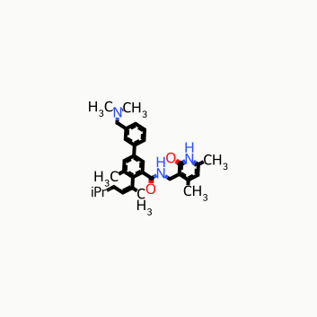 C/C(=C/CC(C)C)c1c(C)cc(-c2cccc(CN(C)C)c2)cc1C(=O)NCc1c(C)cc(C)[nH]c1=O